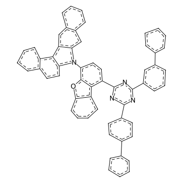 c1ccc(-c2ccc(-c3nc(-c4cccc(-c5ccccc5)c4)nc(-c4ccc(-n5c6cc7ccccc7cc6c6c7ccccc7ccc65)c5oc6ccccc6c45)n3)cc2)cc1